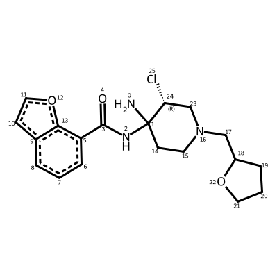 NC1(NC(=O)c2cccc3ccoc23)CCN(CC2CCCO2)C[C@H]1Cl